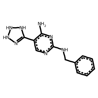 Nc1nc(NCc2ccccc2)ncc1C1=NNNN1